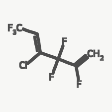 C=C(F)C(F)(F)C(Cl)=CC(F)(F)F